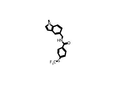 Cn1ccc2cc(CNC(=O)c3ccc(SC(F)(F)F)cc3)ccc21